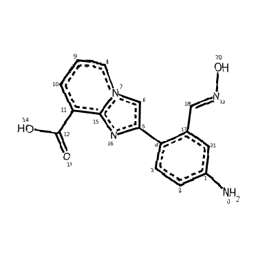 Nc1ccc(-c2cn3cccc(C(=O)O)c3n2)c(C=NO)c1